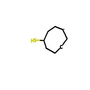 SC1CC[CH]CCCC1